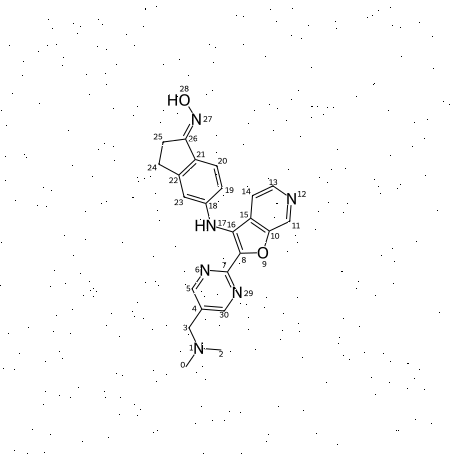 CN(C)Cc1cnc(-c2oc3cnccc3c2Nc2ccc3c(c2)CC/C3=N\O)nc1